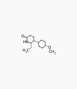 CCc1[nH]c(=O)ccc1-c1ccc(OC)cc1